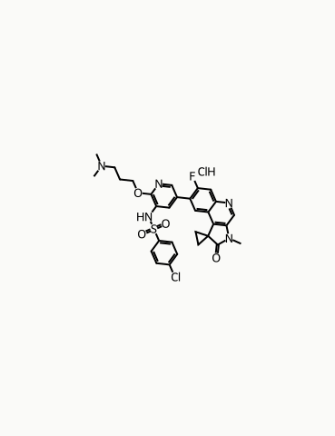 CN(C)CCCOc1ncc(-c2cc3c4c(cnc3cc2F)N(C)C(=O)C42CC2)cc1NS(=O)(=O)c1ccc(Cl)cc1.Cl